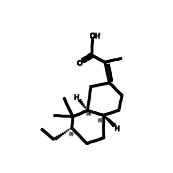 CC[C@H]1CC[C@H]2CCC(=C(C)C(=O)O)C[C@@H]2C1(C)C